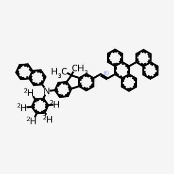 [2H]c1c([2H])c([2H])c(N(c2ccc3c(c2)C(C)(C)c2cc(/C=C/c4c5ccccc5c(-c5cccc6ccccc56)c5ccccc45)ccc2-3)c2ccc3ccccc3c2)c([2H])c1[2H]